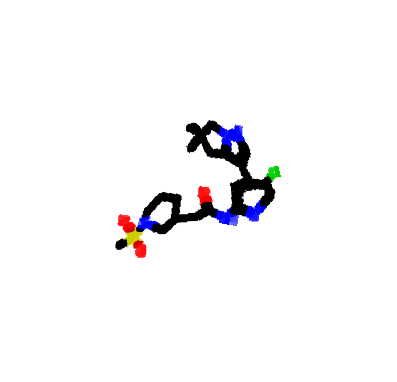 CC1(C)Cc2c(-c3cc(NC(=O)CC4CCCN(S(C)(=O)=O)C4)ncc3Cl)cnn2C1